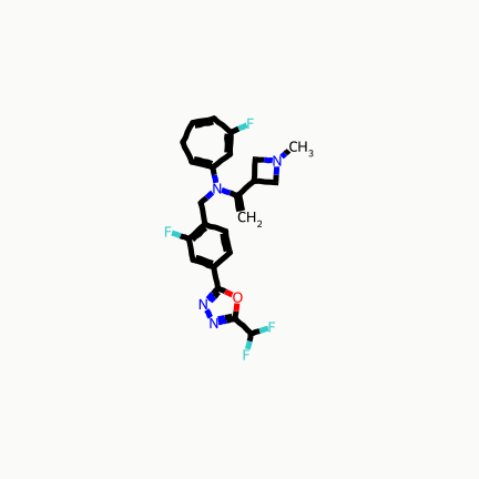 C=C(C1CN(C)C1)N(Cc1ccc(-c2nnc(C(F)F)o2)cc1F)C1=CCC=CC(F)=C1